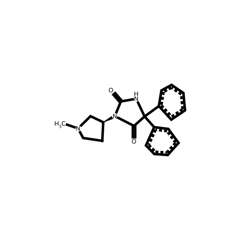 CN1CC[C@H](N2C(=O)NC(c3ccccc3)(c3ccccc3)C2=O)C1